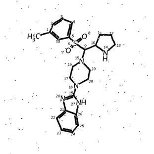 Cc1cccc(S(=O)(=O)C(C2CCCN2)N2CCN(c3nc4ccccc4[nH]3)CC2)c1